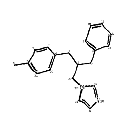 Cc1ccc(CC(Cc2ccccc2)Cn2ccnc2)cc1